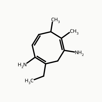 CC/C1=C(N)/C=C\C(C)/C(C)=C(/N)C1